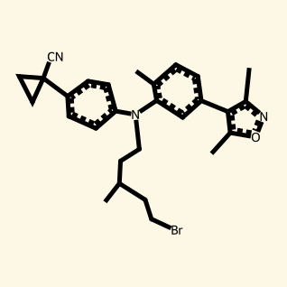 Cc1ccc(-c2c(C)noc2C)cc1N(CCC(C)CCBr)c1ccc(C2(C#N)CC2)cc1